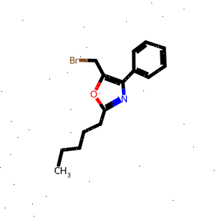 CCCCCc1nc(-c2ccccc2)c(CBr)o1